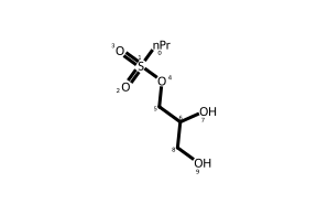 CCCS(=O)(=O)OCC(O)CO